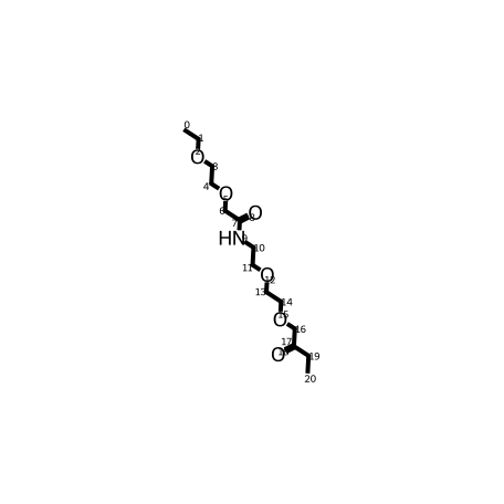 CCOCCOCC(=O)NCCOCCOCC(=O)CC